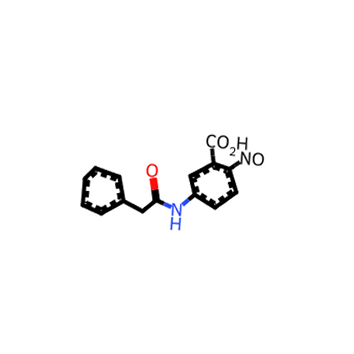 O=Nc1ccc(NC(=O)Cc2ccccc2)cc1C(=O)O